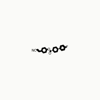 N#C/C=C/C1CCC(OC(=O)[C@H]2CC[C@H](c3ccc(F)cc3)CC2)CC1